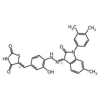 Cc1ccc2c(c1)N(c1ccc(C)c(C)c1)C(=O)/C2=N\Nc1ccc(/C=C2\SC(=O)NC2=O)cc1O